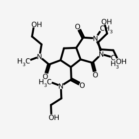 CN(CCO)C(=O)C1CC(C(=O)N(C)CCO)C(C(=O)N(C)CCO)C1C(=O)N(C)CCO